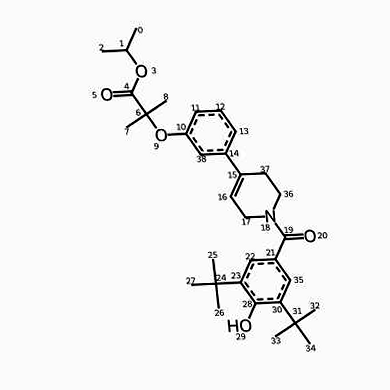 CC(C)OC(=O)C(C)(C)Oc1cccc(C2=CCN(C(=O)c3cc(C(C)(C)C)c(O)c(C(C)(C)C)c3)CC2)c1